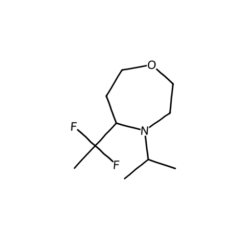 CC(C)N1CCOCCC1C(C)(F)F